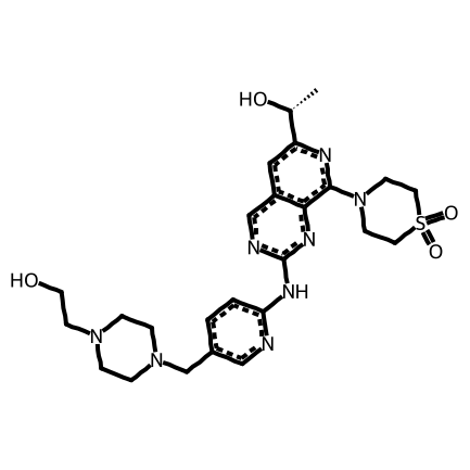 C[C@@H](O)c1cc2cnc(Nc3ccc(CN4CCN(CCO)CC4)cn3)nc2c(N2CCS(=O)(=O)CC2)n1